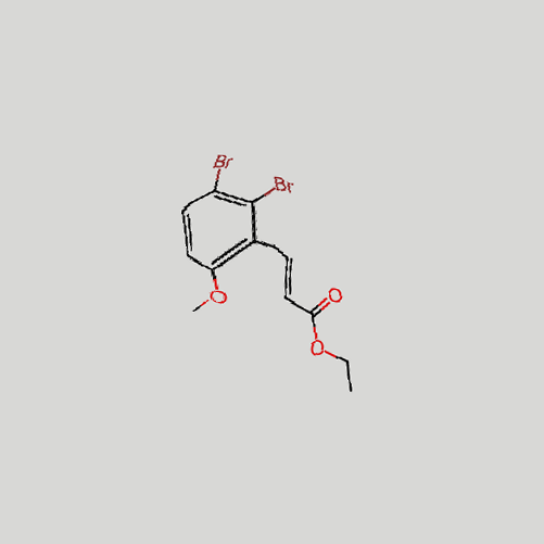 CCOC(=O)C=Cc1c(OC)ccc(Br)c1Br